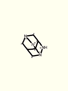 C1C2CN3CC1NN(C2)[N]3